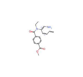 C=C/C=C\C(=C/N)N(CC)C(=O)c1ccc(C(=O)OC)cc1